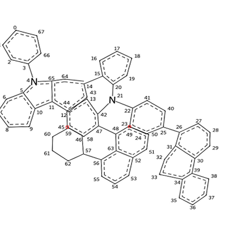 c1ccc(-n2c3ccccc3c3ccc(-c4ccccc4N(c4ccc(-c5cccc6c5ccc5ccccc56)cc4)c4ccccc4-c4cccc5cccc(C6CCCCC6)c45)cc32)cc1